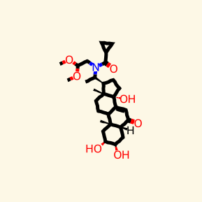 COC(CN(C(=O)C1CC1)C(C)[C@H]1CC[C@@]2(O)C3=CC(=O)[C@@H]4C[C@@H](O)[C@@H](O)C[C@]4(C)C3CC[C@]12C)OC